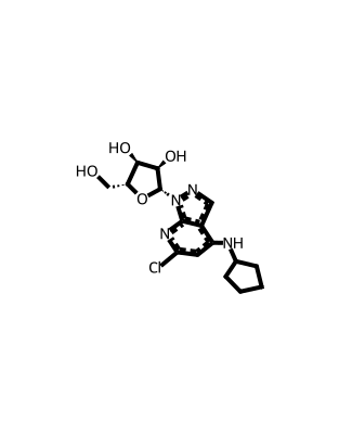 OC[C@H]1O[C@@H](n2ncc3c(NC4CCCC4)cc(Cl)nc32)[C@H](O)[C@@H]1O